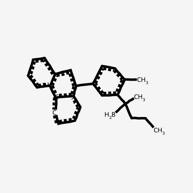 BC(C)(CCC)c1cc(-c2cc3ccccc3c3ccccc23)ccc1C